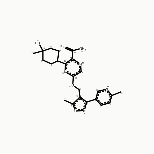 Cc1ccc(-c2noc(C)c2COc2cnc(C(N)=O)c(C3CCC(C)(O)CC3)n2)cn1